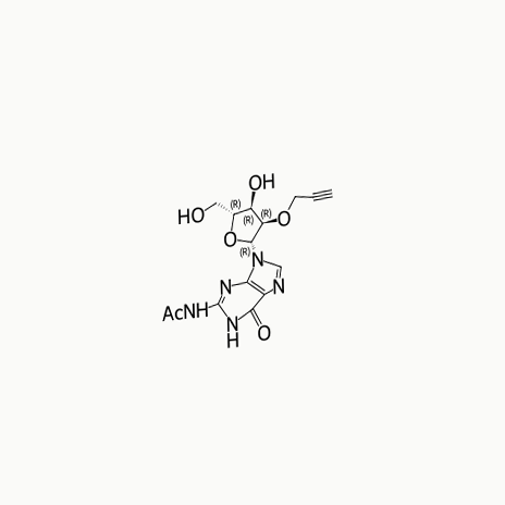 C#CCO[C@@H]1[C@H](O)[C@@H](CO)O[C@H]1n1cnc2c(=O)[nH]c(NC(C)=O)nc21